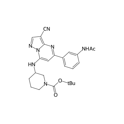 CC(=O)Nc1cccc(-c2cc(NC3CCCN(C(=O)OC(C)(C)C)C3)n3ncc(C#N)c3n2)c1